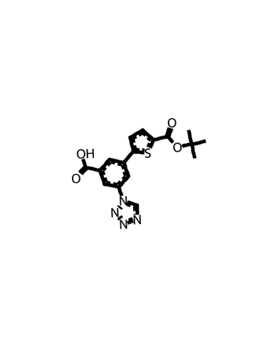 CC(C)(C)OC(=O)c1ccc(-c2cc(C(=O)O)cc(-n3cnnn3)c2)s1